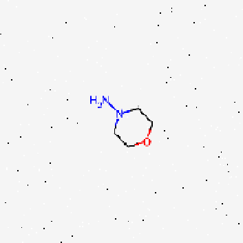 NN1[CH]COCC1